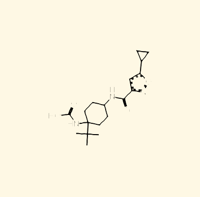 CC(C)(C)C1(NC(=O)O)CCC(NC(=O)c2cc(C3CC3)on2)CC1